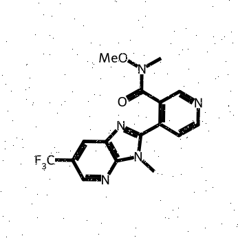 CON(C)C(=O)c1cnccc1-c1nc2cc(C(F)(F)F)cnc2n1C